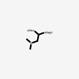 CCCCCCCC(CCCCCC)CN(C)C